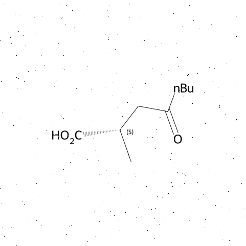 CCCCC(=O)C[C@H](C)C(=O)O